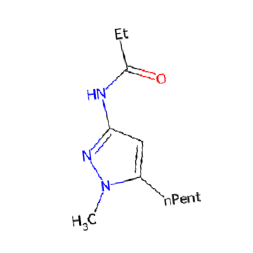 CCCCCc1cc(NC(=O)CC)nn1C